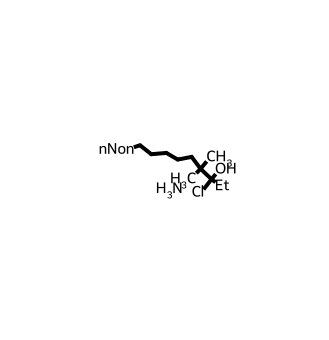 CCCCCCCCCCCCCCC(C)(C)C(O)(Cl)CC.N